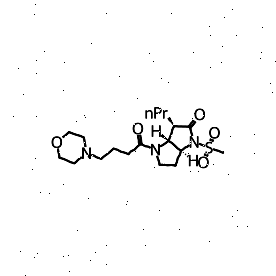 CCC[C@H]1C(=O)N(S(C)(=O)=O)[C@H]2CCN(C(=O)CCCN3CCOCC3)[C@H]12